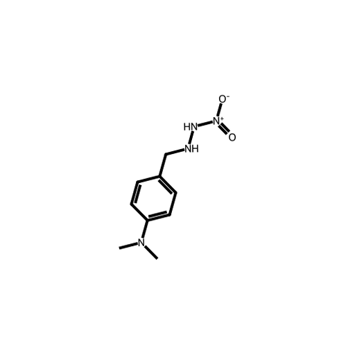 CN(C)c1ccc(CNN[N+](=O)[O-])cc1